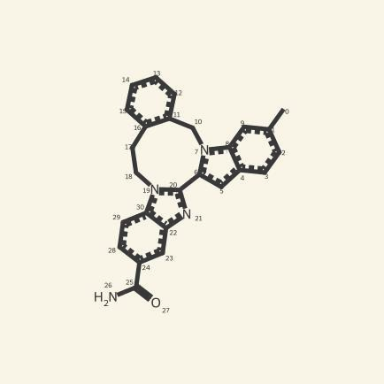 Cc1ccc2cc3n(c2c1)Cc1ccccc1CCn1c-3nc2cc(C(N)=O)ccc21